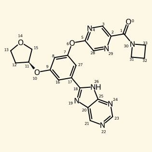 O=C(c1cnc(Oc2cc(O[C@H]3CCOC3)cc(-c3nc4cncnc4[nH]3)c2)cn1)N1CCC1